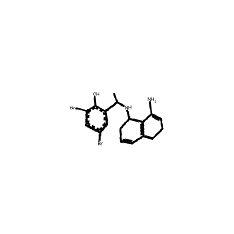 CC(NC1CC=CC2=C1C(N)=CCC2)c1cc(Br)cc(Br)c1O